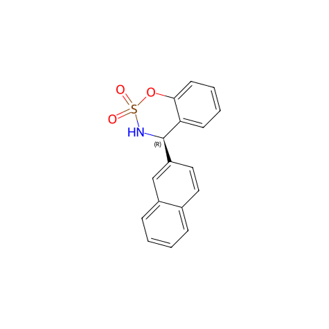 O=S1(=O)N[C@H](c2ccc3ccccc3c2)c2ccccc2O1